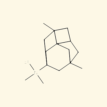 CC[N+](C)(C)C12CC3(C)CC4CC(C)(C1)C4(C3)C2